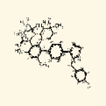 Cc1nc(C)c(C(OC(C)(C)C)C(=O)O)c(N2CCC(C)(C)CC2)c1-c1ccc(-c2nnnn2Cc2ccc(F)cc2)cc1